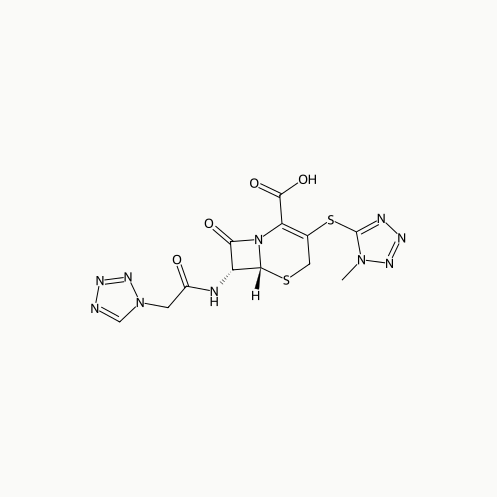 Cn1nnnc1SC1=C(C(=O)O)N2C(=O)[C@@H](NC(=O)Cn3cnnn3)[C@H]2SC1